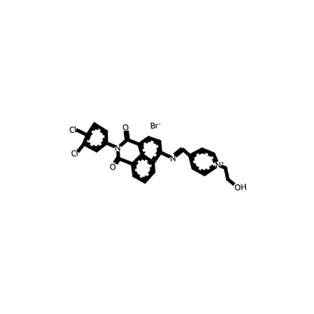 O=C1c2cccc3c(/N=C/c4cc[n+](CCO)cc4)ccc(c23)C(=O)N1c1ccc(Cl)c(Cl)c1.[Br-]